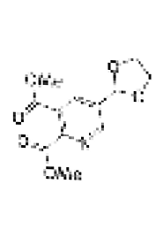 COC(=O)c1cc(C2OCCO2)cnc1C(=O)OC